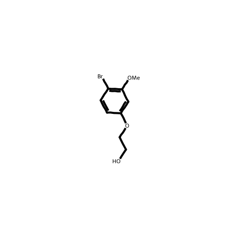 COc1cc(OCCO)ccc1Br